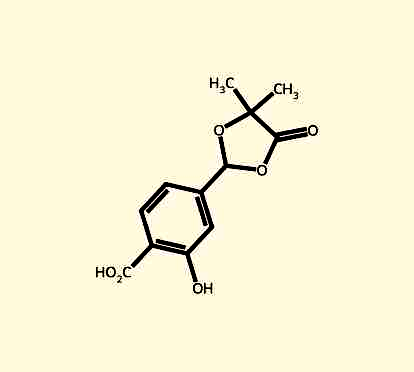 CC1(C)OC(c2ccc(C(=O)O)c(O)c2)OC1=O